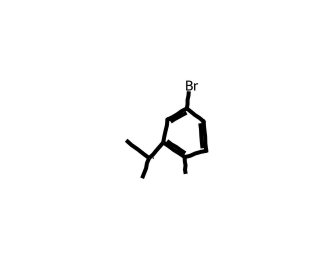 C[C](C)c1cc(Br)ccc1C